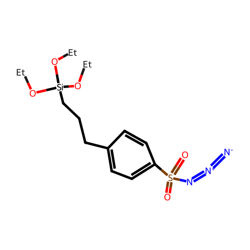 CCO[Si](CCCc1ccc(S(=O)(=O)N=[N+]=[N-])cc1)(OCC)OCC